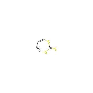 S=C1SC=CC=CS1